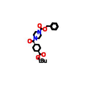 CC(C)(C)OC(=O)[C@H]1CC[C@H](C(=O)N2CCN(C(=O)OCc3ccccc3)CC2)CC1